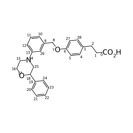 O=C(O)CCc1ccc(OCc2cccc(N3CCOC(c4ccccc4)C3)c2)cc1